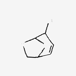 OC1C=CC2COC1O2